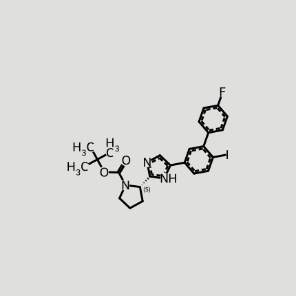 CC(C)(C)OC(=O)N1CCC[C@H]1c1ncc(-c2ccc(I)c(-c3ccc(F)cc3)c2)[nH]1